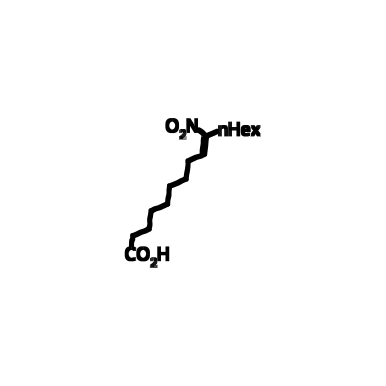 CCCCCCC(=CCCCCCCCC(=O)O)[N+](=O)[O-]